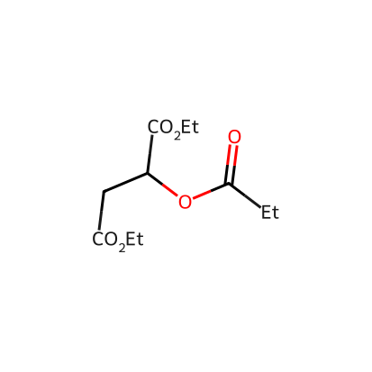 CCOC(=O)CC(OC(=O)CC)C(=O)OCC